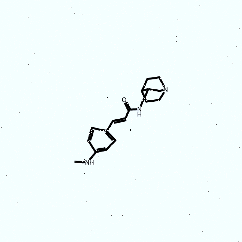 CNc1ccc(/C=C/C(=O)NC2CN3CCC2CC3)cc1